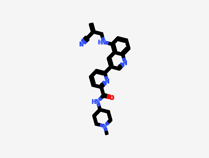 C=C(C#N)CNc1cccc2ncc(-c3cccc(C(=O)NC4CCN(C)CC4)n3)cc12